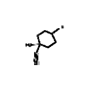 C#CC1(O)CCC(CCC)CC1